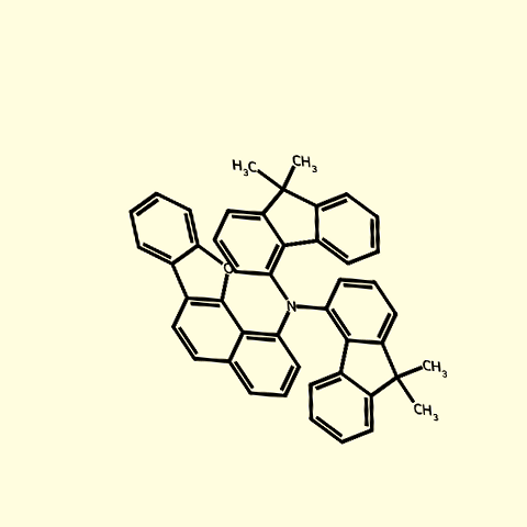 CC1(C)c2ccccc2-c2c(N(c3cccc4c3-c3ccccc3C4(C)C)c3cccc4ccc5c6ccccc6oc5c34)cccc21